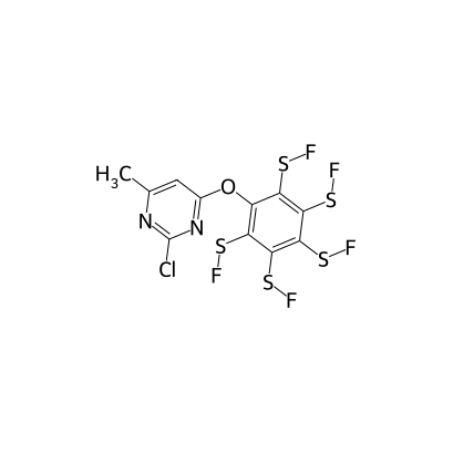 Cc1cc(Oc2c(SF)c(SF)c(SF)c(SF)c2SF)nc(Cl)n1